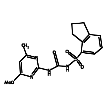 COc1cc(C)nc(NC(=O)NS(=O)(=O)c2cccc3c2CCC3)n1